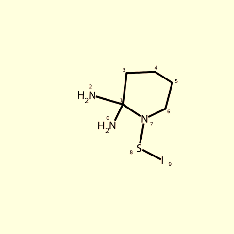 NC1(N)CCCCN1SI